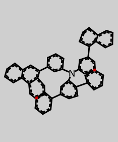 c1ccc(-c2ccc(-c3ccccc3)c(N(c3cccc(-c4cccc5ccccc45)c3)c3cccc(-c4cc5ccccc5c5ccccc45)c3)c2)cc1